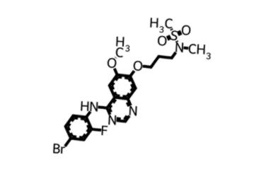 COc1cc2c(Nc3ccc(Br)cc3F)ncnc2cc1OCCCN(C)S(C)(=O)=O